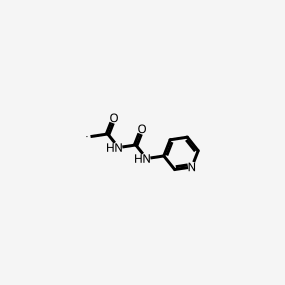 [CH2]C(=O)NC(=O)Nc1cccnc1